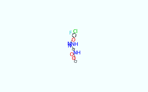 O=C(COC1CCC1)NC12CC(c3nnc(COc4ccc(Cl)c(F)c4)[nH]3)(C1)C2